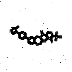 CCc1c(C(=O)N2CCOc3ccc(-c4ccc(-c5cncn5C)cc4)cc3C2)ccc(S(=O)(=O)CC)c1F